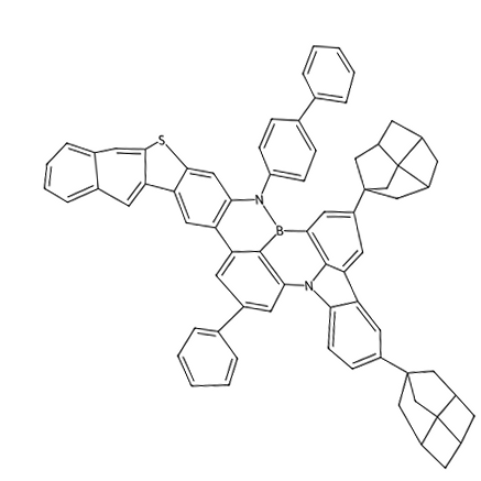 c1ccc(-c2ccc(N3B4c5c(cc(-c6ccccc6)cc5-n5c6ccc(C78CC9CC%10CC(C7)C%109C8)cc6c6cc(C78CC9CC%10CC(C7)C%109C8)cc4c65)-c4cc5c(cc43)sc3cc4ccccc4cc35)cc2)cc1